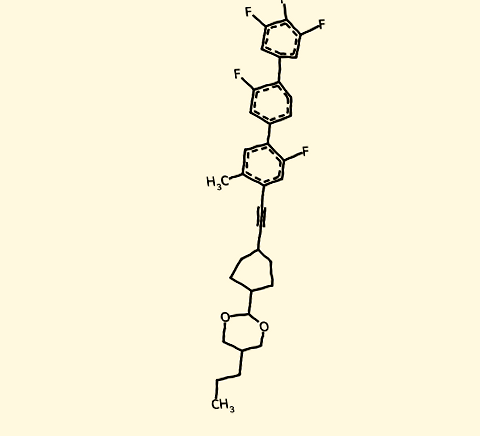 CCCC1COC(C2CCC(C#Cc3cc(F)c(-c4ccc(-c5cc(F)c(F)c(F)c5)c(F)c4)cc3C)CC2)OC1